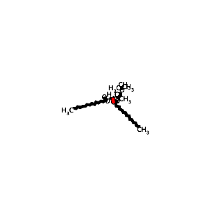 CCCCCCCCCCCCCCCC(=O)OCC(COC(C)(C)CCOC(C)(C)C)OC(=O)CCCCCCCCCCCCCCC